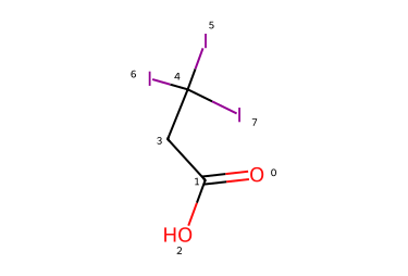 O=C(O)CC(I)(I)I